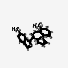 Cc1ccc2coc(C3=NCc4c(C)cccc4-n4cccc43)c2c1